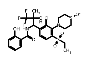 CCS(=O)(=O)c1ccc(C(NC(=O)c2ccccc2O)C(C)(O)C(F)(F)F)c(Cl)c1N1CC[S+]([O-])CC1